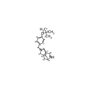 CC(C)(C)Oc1ccc(CN2CC3CC4CC2C3CN4)cc1